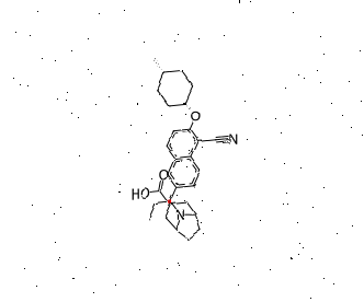 CCC(c1ccc2c(C#N)c(O[C@H]3CC[C@@H](C)CC3)ccc2c1)N1C2CCC1CC(C(=O)O)C2